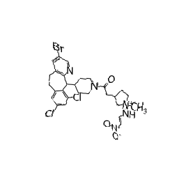 C[N+]1(NC=C[N+](=O)[O-])CCC(CC(=O)N2CCC(C3c4ncc(Br)cc4CCc4cc(Cl)cc(Cl)c43)CC2)C1